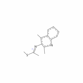 CS/C(C)=N/c1c(C)nc2ccccc2c1C